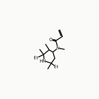 C=CC(=O)N(C)C1CC(C)(CC)NC(C)(CC)C1C